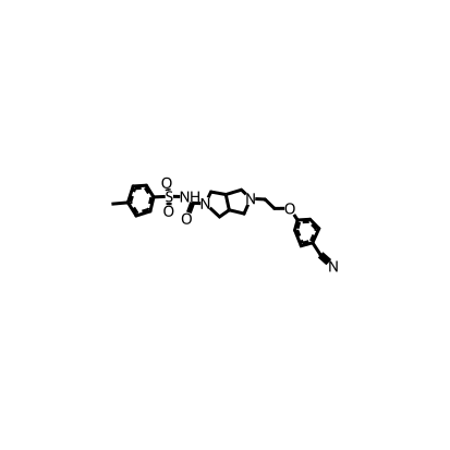 Cc1ccc(S(=O)(=O)NC(=O)N2CC3CN(CCOc4ccc(C#N)cc4)CC3C2)cc1